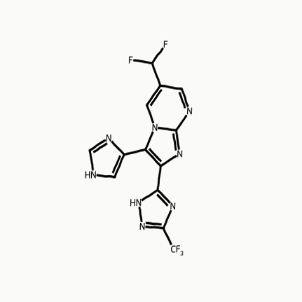 FC(F)c1cnc2nc(-c3nc(C(F)(F)F)n[nH]3)c(-c3c[nH]cn3)n2c1